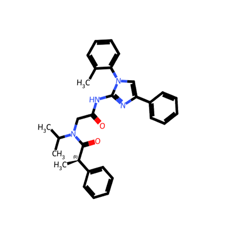 Cc1ccccc1-n1cc(-c2ccccc2)nc1NC(=O)CN(C(=O)[C@H](C)c1ccccc1)C(C)C